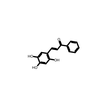 O=C(/C=C/c1cc(O)c(O)cc1O)c1ccccc1